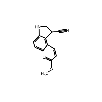 COC(=O)/C=C\c1cccc2c1C(C#N)CN2